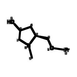 CC(C)OC[C@@H]1CC(O)CN1C